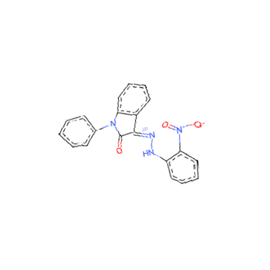 O=C1/C(=N\Nc2ccccc2[N+](=O)[O-])c2ccccc2N1c1ccccc1